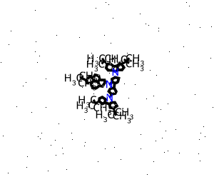 CC(C)(C)c1cc2ccc3cc(-n4c5cc(-n6c7ccc(C(C)(C)C)cc7c7cc(C(C)(C)C)ccc76)ccc5c5ccc(-n6c7ccc(C(C)(C)C)cc7c7cc(C(C)(C)C)ccc76)cc54)cc4ccc(c1)c2c34